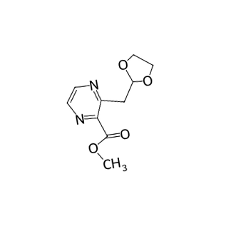 COC(=O)c1nccnc1CC1OCCO1